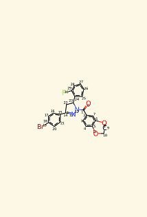 O=C(c1ccc2c(c1)OCCO2)N1N=C(c2ccc(Br)cc2)CC1c1ccccc1F